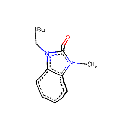 Cn1c(=O)n(CC(C)(C)C)c2ccccc21